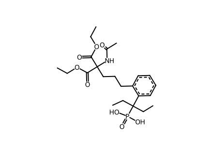 CCOC(=O)C(CCCc1ccccc1C(CC)(CC)P(=O)(O)O)(NC(C)=O)C(=O)OCC